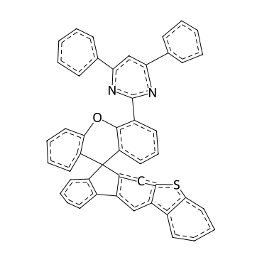 c1ccc(-c2cc(-c3ccccc3)nc(-c3cccc4c3Oc3ccccc3C43c4ccccc4-c4cc5c(cc43)sc3ccccc35)n2)cc1